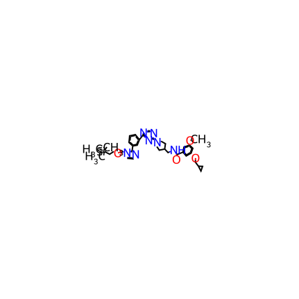 COc1cc(OCC2CC2)cc(C(=O)NCC2CCN(c3ncnc(-c4cccc(-c5nccn5COCC[Si](C)(C)C)c4)n3)CC2)c1